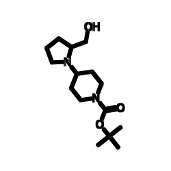 CC(C)(C)OC(=O)N1CCC(N2CCCC2CO)CC1